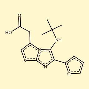 CC(C)(C)Nc1c(-c2ccco2)nc2scc(CC(=O)O)n12